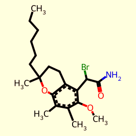 CCCCCCC1(C)CCc2c(c(C)c(C)c(OC)c2C(Br)C(N)=O)O1